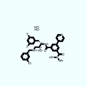 CCCN(CCC)C(=O)c1cc(C(=O)N[C@@H](Cc2cc(F)cc(F)c2)[C@H](O)CNCc2cccc(CC)c2)cc(-c2ccncc2)c1.Cl.Cl